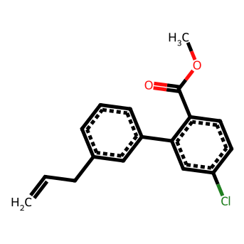 C=CCc1cccc(-c2cc(Cl)ccc2C(=O)OC)c1